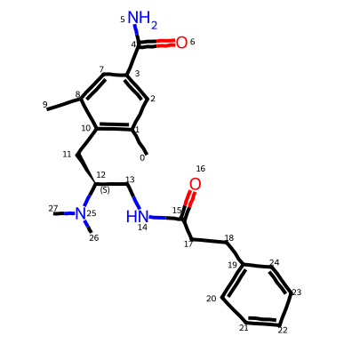 Cc1cc(C(N)=O)cc(C)c1C[C@@H](CNC(=O)CCc1ccccc1)N(C)C